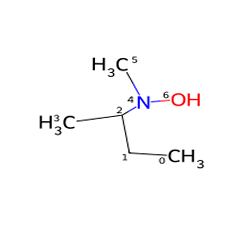 CCC(C)N(C)O